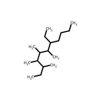 [CH2]C(CC)C(C)C(C)C(C)C(CC)CCCC